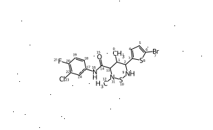 CC1C(c2ccc(Br)s2)NSN(C)C1C(=O)Nc1ccc(F)c(Cl)c1